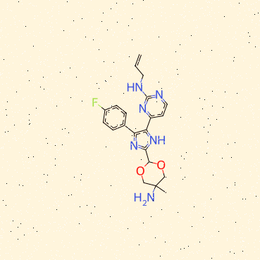 C=CCNc1nccc(-c2[nH]c(C3OCC(C)(N)CO3)nc2-c2ccc(F)cc2)n1